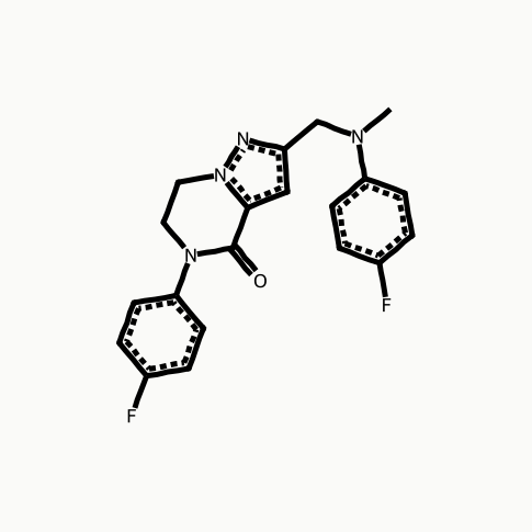 CN(Cc1cc2n(n1)CCN(c1ccc(F)cc1)C2=O)c1ccc(F)cc1